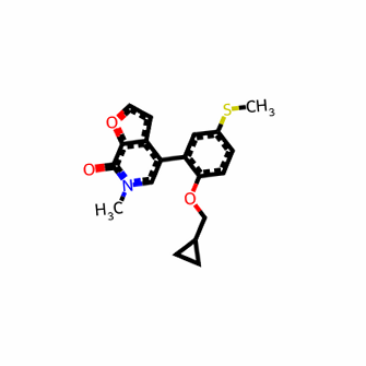 CSc1ccc(OCC2CC2)c(-c2cn(C)c(=O)c3occc23)c1